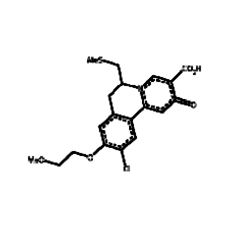 COCCOc1cc2c(cc1Cl)-c1cc(=O)c(C(=O)O)cn1C(CSC)C2